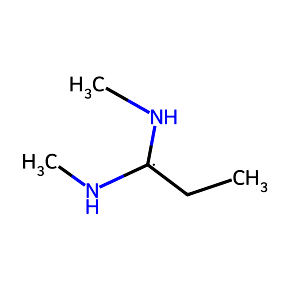 CC[C](NC)NC